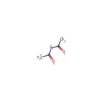 O=C([N]C(=O)C(F)(F)F)C(F)(F)F